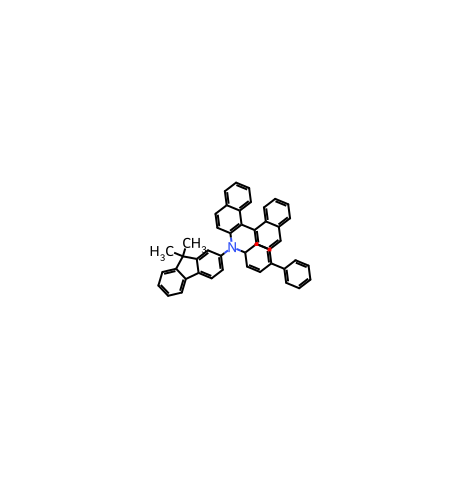 CC1(C)c2ccccc2-c2ccc(N(c3ccc4ccccc4c3-c3cccc4ccccc34)C3C=CC(c4ccccc4)=CC3)cc21